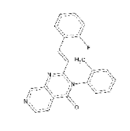 Cc1ccccc1-n1c(C=Cc2ccccc2F)nc2cnccc2c1=O